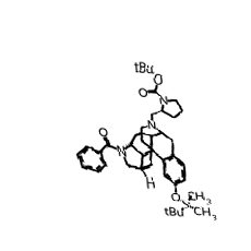 CC(C)(C)OC(=O)N1CCC[C@H]1CN1CCC23c4cc(O[Si](C)(C)C(C)(C)C)ccc4CC1C21CCC2C3[C@@H](CN2C(=O)c2ccccc2)C1